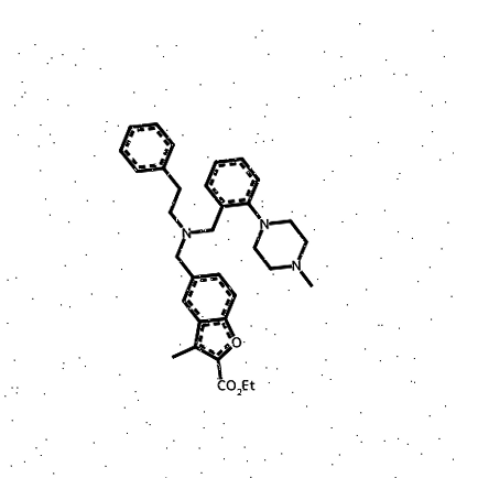 CCOC(=O)c1oc2ccc(CN(CCc3ccccc3)Cc3ccccc3N3CCN(C)CC3)cc2c1C